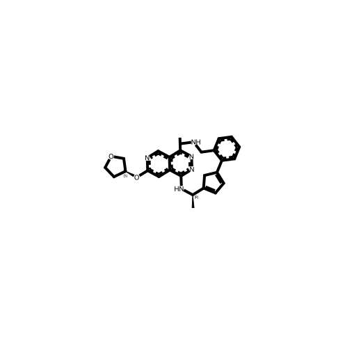 CNCc1ccccc1C1=CC=C([C@@H](C)Nc2nnc(C)c3cnc(O[C@H]4CCOC4)cc23)C1